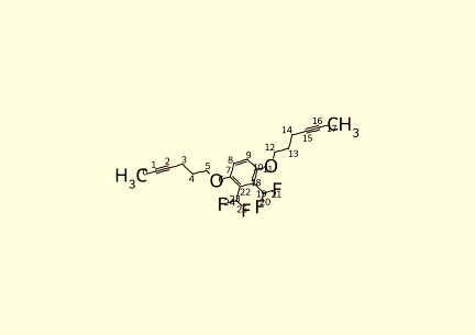 CC#CCCCOc1ccc(OCCCC#CC)c(C(F)F)c1C(F)F